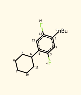 CCCCc1cc(F)c(C2CCCCC2)cc1F